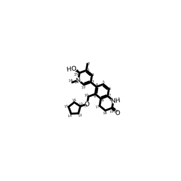 CC1=CC(c2ccc3c(c2COC2CCCC2)CCC(=O)N3)=CN(C)C1O